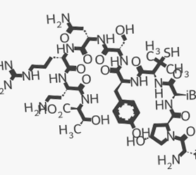 CC[C@H](C)[C@H](NC(=O)[C@@H]1C[C@@H](O)CN1C(=O)[C@@H](N)C(C)C)C(=O)N[C@H](C(=O)N[C@@H](Cc1ccc(O)cc1)C(=O)N[C@@H](CO)C(=O)N[C@@H](CC(N)=O)C(=O)N[C@@H](CCCNC(=N)N)C(=O)N[C@@H](CCN)C(=O)N[C@H](C(=O)O)[C@@H](C)O)C(C)(C)S